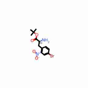 CC(C)(C)OC(=O)[C@@H](N)Cc1ccc(Br)cc1[N+](=O)[O-]